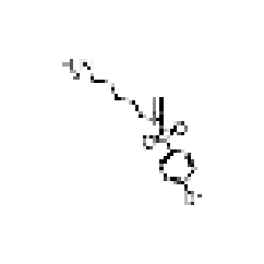 NCCCCCNS(=O)(=O)c1ccc(Br)cc1